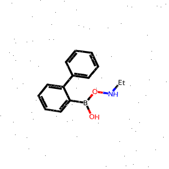 CCNOB(O)c1ccccc1-c1ccccc1